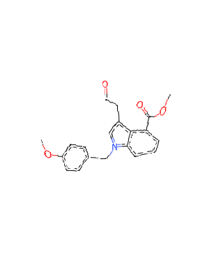 COC(=O)c1cccc2c1c(CC=O)cn2Cc1ccc(OC)cc1